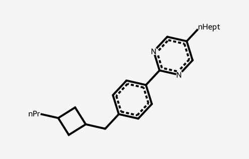 CCCCCCCc1cnc(-c2ccc(CC3CC(CCC)C3)cc2)nc1